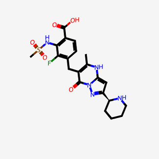 Cc1[nH]c2cc([C@@H]3CCCCN3)nn2c(=O)c1Cc1ccc(C(=O)O)c(NS(C)(=O)=O)c1F